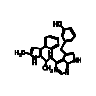 Cc1cc(-c2ccccc2)c(C(C)Nc2ncnc3[nH]cc(Cc4cccc(O)c4)c23)[nH]1